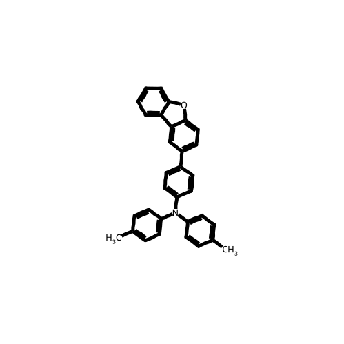 Cc1ccc(N(c2ccc(C)cc2)c2ccc(-c3ccc4oc5ccccc5c4c3)cc2)cc1